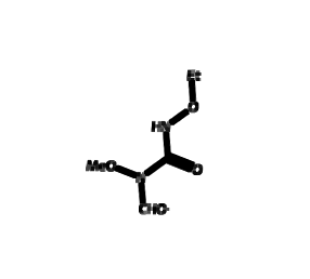 CCONC(=O)N([C]=O)OC